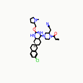 C=CC(=O)N1CCN(C2NC(OCC3CCCN3C)NC3C[C@@]4(CCc5ccc(Cl)cc5C4)CCC32)CC1CC#N